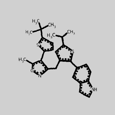 Cc1onc(Cc2cc(C(C)C)sc2-c2ccc3[nH]ccc3c2)c1-c1ccc(C(C)(C)C)s1